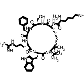 CC1(C)SSCC[C@H](NC(=O)[C@H](N)CCCCN)C(=O)N[C@@H](CO)C(=O)N[C@H](Cc2ccccc2)C(=O)N[C@@H](CCCNC(=N)N)C(=O)N[C@@H](Cc2c[nH]c3ccccc23)C(=O)N[C@@H]1C(N)=O